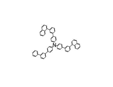 c1ccc(-c2cccc(-c3ccc(N(c4ccc(-c5cccc(-c6cccc7ccccc67)c5)cc4)c4ccc(-c5cccc(-c6cccc7ccccc67)c5)cc4)cc3)c2)cc1